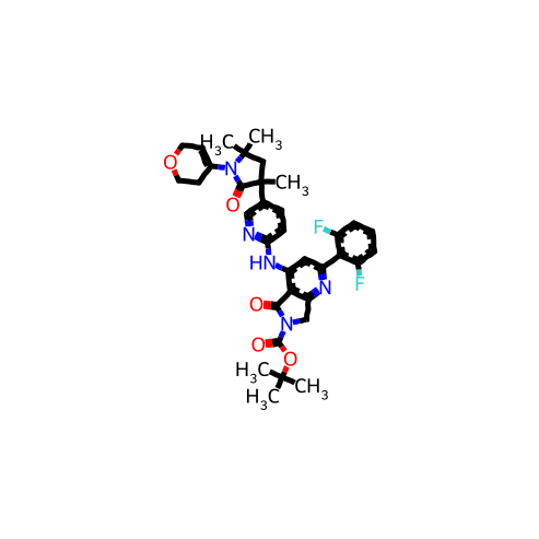 CC(C)(C)OC(=O)N1Cc2nc(-c3c(F)cccc3F)cc(Nc3ccc(C4(C)CC(C)(C)N(C5=CCOCC5)C4=O)cn3)c2C1=O